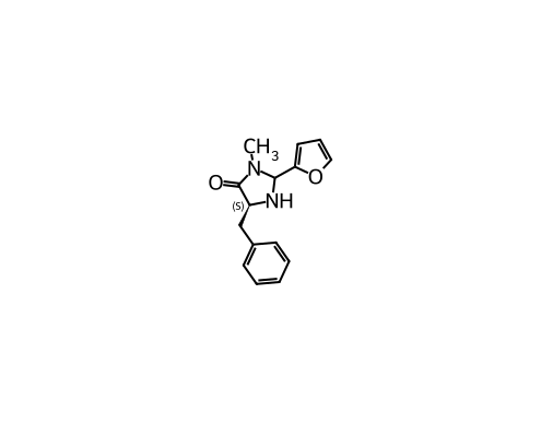 CN1C(=O)[C@H](Cc2ccccc2)NC1c1ccco1